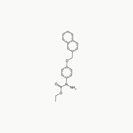 CCOC(=O)N(N)c1ccc(OCc2ccc3ccccc3c2)cc1